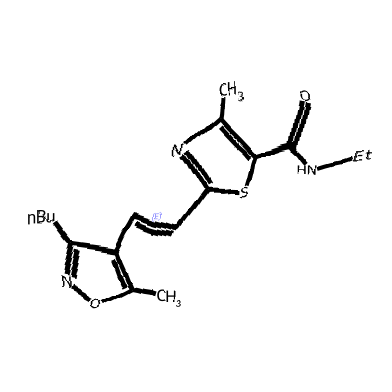 CCCCc1noc(C)c1/C=C/c1nc(C)c(C(=O)NCC)s1